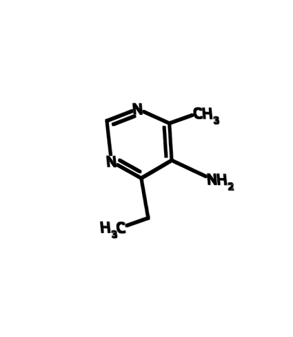 CCc1ncnc(C)c1N